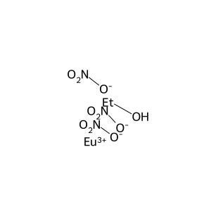 CCO.O=[N+]([O-])[O-].O=[N+]([O-])[O-].O=[N+]([O-])[O-].[Eu+3]